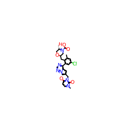 Cc1cc(Cl)cc(-c2ncnn3cc(Cn4c(=O)ccn(C)c4=O)cc23)c1CC1CN(C(=O)O)[C@@H](C)CO1